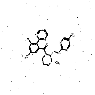 Cc1cc(F)c(-c2ncccn2)c(C(=O)N2CCC[C@@H](C)[C@H]2CNc2ncc(C(F)(F)F)cn2)c1